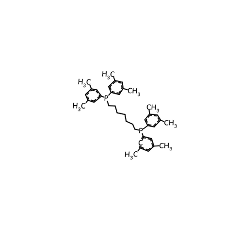 Cc1cc(C)cc(P(CCCCCCCP(c2cc(C)cc(C)c2)c2cc(C)cc(C)c2)c2cc(C)cc(C)c2)c1